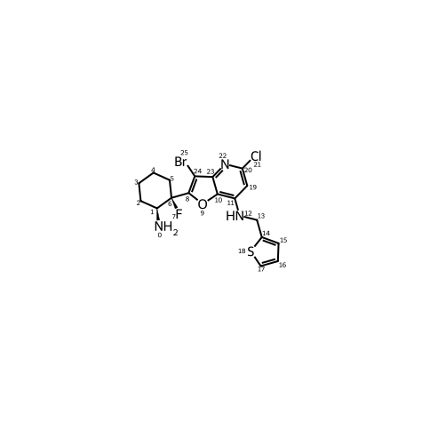 N[C@H]1CCCC[C@]1(F)c1oc2c(NCc3cccs3)cc(Cl)nc2c1Br